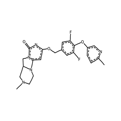 Cc1ccc(Oc2c(F)cc(COc3cc4n(c(=O)n3)CC3CN(C)CCN43)cc2F)cn1